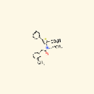 C=CCN(C(=O)Cc1cccc(C)c1)c1cc(-c2ccccc2)sc1C(=O)O